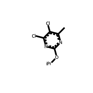 Cc1nc(OC(C)C)nc(Cl)c1Cl